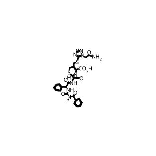 CN(C(=O)NC(C(=O)NC1C(=O)N2C(C(=O)O)=C(CSc3nnnn3CC(N)=O)CS[C@@H]12)c1ccccc1)C(=O)c1ccccc1